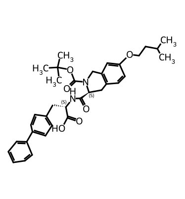 CC(C)CCOc1ccc2c(c1)CN(C(=O)OC(C)(C)C)[C@H](C(=O)N[C@@H](Cc1ccc(-c3ccccc3)cc1)C(=O)O)C2